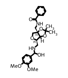 COc1ccc(C(O)NC[C@H]2OC[C@]3(CNC(=O)c4ccccc4)OC(C)(C)O[C@H]23)cc1OC